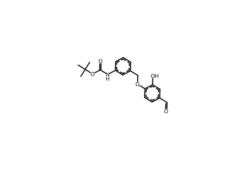 CC(C)(C)OC(=O)Nc1cccc(COc2ccc(C=O)cc2O)c1